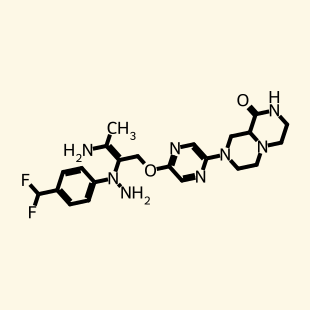 C/C(N)=C(\COc1cnc(N2CCN3CCNC(=O)C3C2)cn1)N(N)c1ccc(C(F)F)cc1